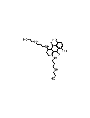 O=C1C2=C(NCCCNCCO)CCC(NCCCNCCO)=C2C(=O)c2c(O)ccc(O)c21